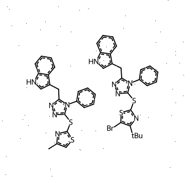 CC(C)(C)c1nc(Sc2nnc(Cc3c[nH]c4ccccc34)n2-c2ccccc2)sc1Br.Cc1csc(Sc2nnc(Cc3c[nH]c4ccccc34)n2-c2ccccc2)n1